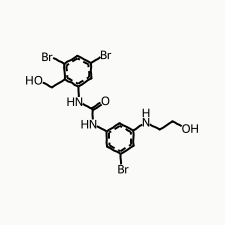 O=C(Nc1cc(Br)cc(NCCO)c1)Nc1cc(Br)cc(Br)c1CO